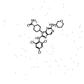 NC(=O)[C@H]1CC[C@@H](n2c(Nc3c(Cl)cc(Cl)cc3Cl)nc3cnc(N[C@@H]4CCCOC4)nc32)CC1